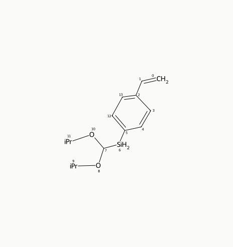 C=Cc1ccc([SiH2]C(OC(C)C)OC(C)C)cc1